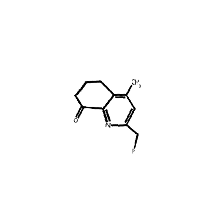 Cc1cc(CF)nc2c1CCCC2=O